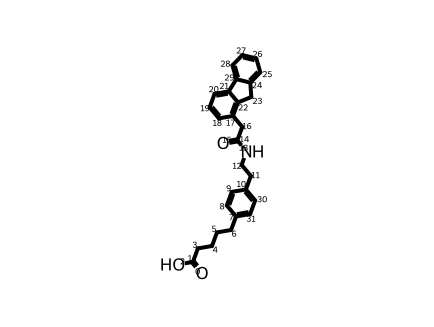 O=C(O)CCCCc1ccc(CCNC(=O)Cc2cccc3c2Cc2ccccc2-3)cc1